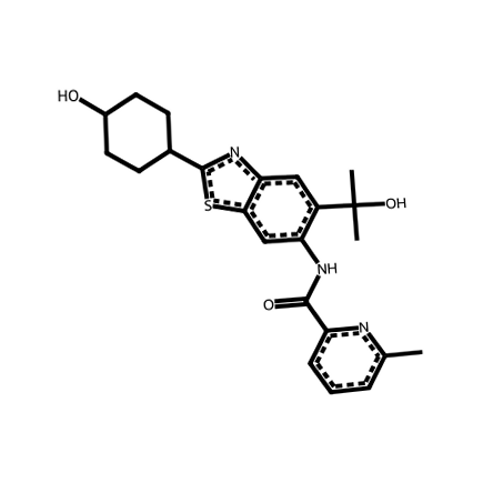 Cc1cccc(C(=O)Nc2cc3sc(C4CCC(O)CC4)nc3cc2C(C)(C)O)n1